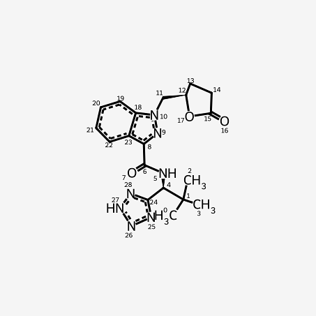 CC(C)(C)[C@H](NC(=O)c1nn(C[C@H]2CCC(=O)O2)c2ccccc12)c1nn[nH]n1